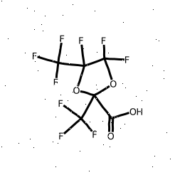 O=C(O)C1(C(F)(F)F)OC(F)(F)C(F)(C(F)(F)F)O1